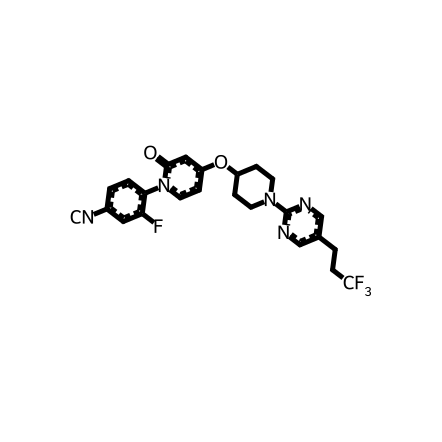 [C-]#[N+]c1ccc(-n2ccc(OC3CCN(c4ncc(CCC(F)(F)F)cn4)CC3)cc2=O)c(F)c1